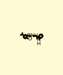 Cc1ccc(C(C)C)cc1OC(=O)NCCc1c[nH]c2ccccc12